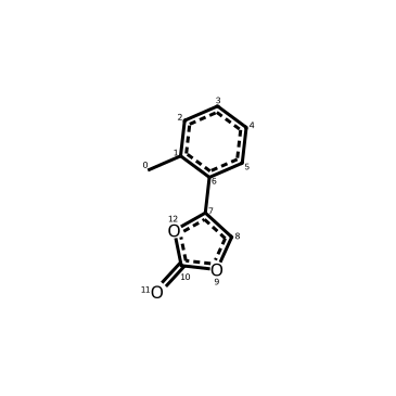 Cc1ccccc1-c1coc(=O)o1